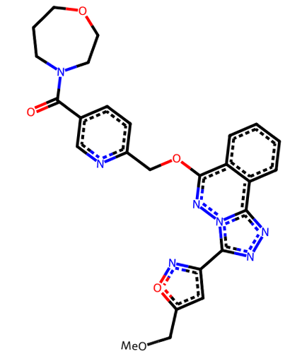 COCc1cc(-c2nnc3c4ccccc4c(OCc4ccc(C(=O)N5CCCOCC5)cn4)nn23)no1